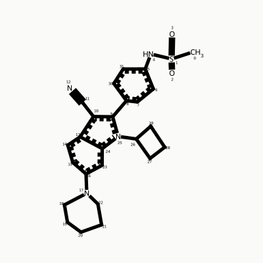 CS(=O)(=O)Nc1ccc(-c2c(C#N)c3ccc(N4CCCCC4)cc3n2C2CCC2)cc1